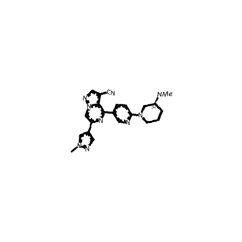 CN[C@H]1CCCN(c2ccc(-c3nc(-c4cnn(C)c4)cn4ncc(C#N)c34)cn2)C1